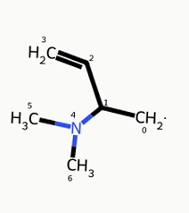 [CH2]C(C=C)N(C)C